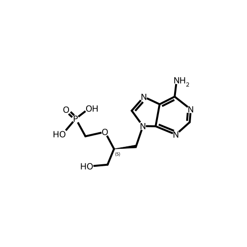 Nc1ncnc2c1ncn2C[C@@H](CO)OCP(=O)(O)O